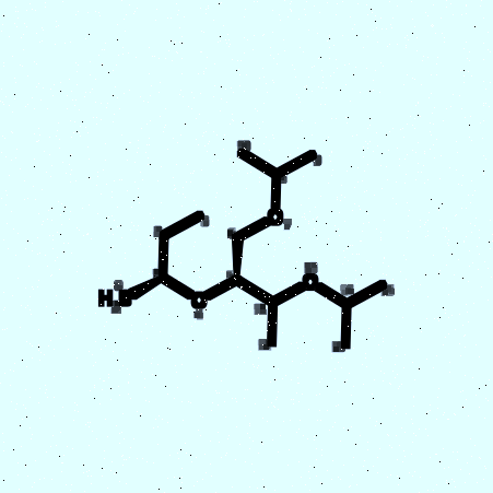 B[C@@H](CC)O[C@@H](COC(C)C)C(C)OC(C)C